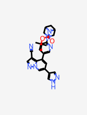 CC(C)(C)OC(=O)N1C2CC1CN(c1ccc(-c3cc(-c4cn[nH]c4)cn4ncc(C#N)c34)cn1)C2